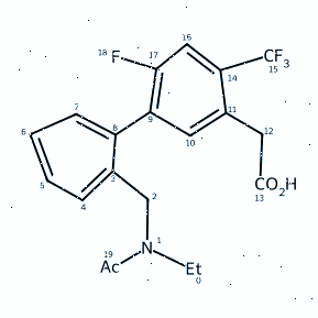 CCN(Cc1ccccc1-c1cc(CC(=O)O)c(C(F)(F)F)cc1F)C(C)=O